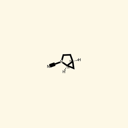 N#CN1CC[C@H]2C[C@H]21